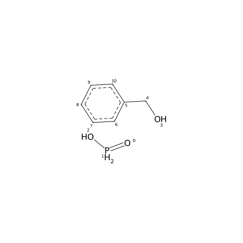 O=[PH2]O.OCc1ccccc1